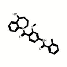 COc1cc(NC(=O)c2ccccc2C)ccc1C(=O)N1CCCC(O)c2ccccc21